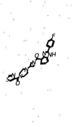 O=C(c1cscn1)N1CCN(C2CN(C(=O)c3cccc4[nH]c(-c5ccc(F)cc5)nc34)C2)CC1